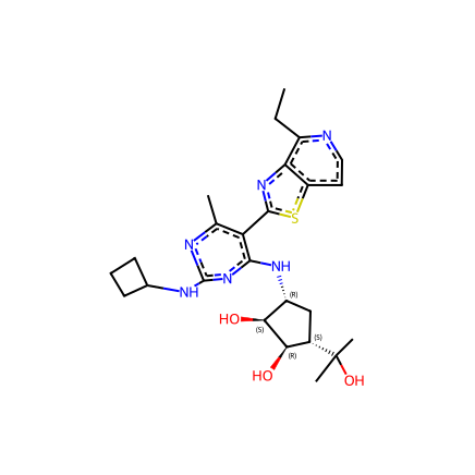 CCc1nccc2sc(-c3c(C)nc(NC4CCC4)nc3N[C@@H]3C[C@H](C(C)(C)O)[C@@H](O)[C@H]3O)nc12